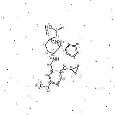 C[C@H](O)[C@@H]1C[C@]2(c3ccccc3)N[C@H]1CC[C@H]2NCc1cc(OC(F)(F)F)ccc1OC1CC1